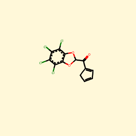 O=C(C1=CC=CC1)C1Oc2c(Cl)c(Cl)c(Cl)c(Cl)c2O1